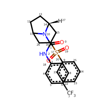 O=C(Nc1ccc(C(F)(F)F)cc1)N1C2CC[C@@H]1CC(S(=O)(=O)c1ccccc1)C2